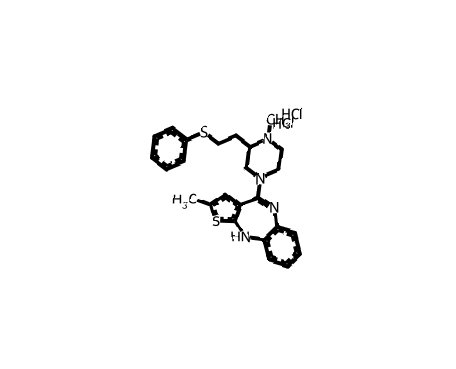 Cc1cc2c(s1)Nc1ccccc1N=C2N1CCN(C)C(CCSc2ccccc2)C1.Cl.Cl